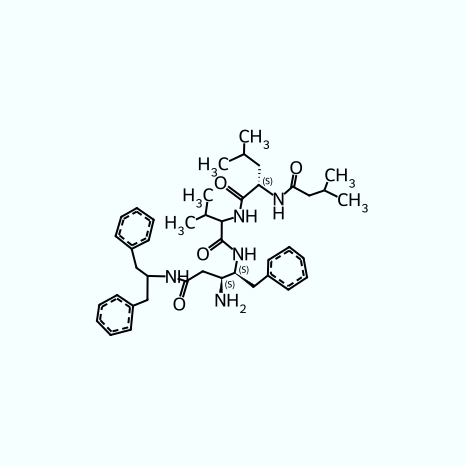 CC(C)CC(=O)N[C@@H](CC(C)C)C(=O)NC(C(=O)N[C@@H](Cc1ccccc1)[C@@H](N)CC(=O)NC(Cc1ccccc1)Cc1ccccc1)C(C)C